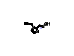 C#CCn1ccnc1/C=N/O